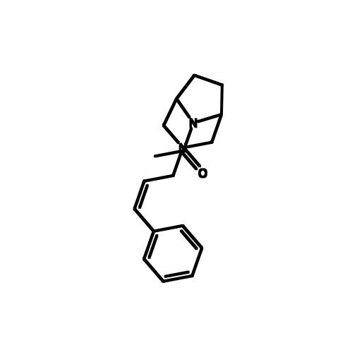 CC(=O)N1C2CCC1CN(C/C=C\c1ccccc1)C2